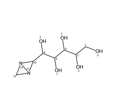 OCC(O)C(O)C(O)C(O)C1N2CN12